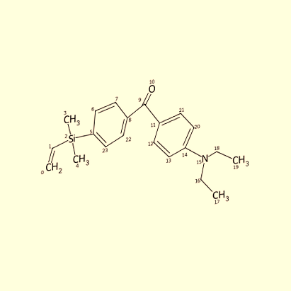 C=C[Si](C)(C)c1ccc(C(=O)c2ccc(N(CC)CC)cc2)cc1